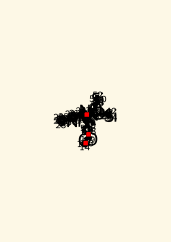 C=Cc1c(C2CCC(C(=O)OC(C)(C)C)CC2)nc2c(-c3ccc(-c4ccccc4)nc3)cnn2c1N(COCC[Si](C)(C)C)COCC[Si](C)(C)C